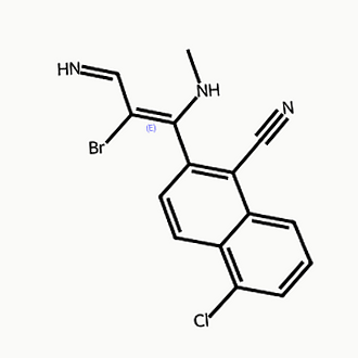 CN/C(=C(/Br)C=N)c1ccc2c(Cl)cccc2c1C#N